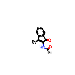 CCC1=C(NC(=O)C(C)C)C(=O)c2ccccc21